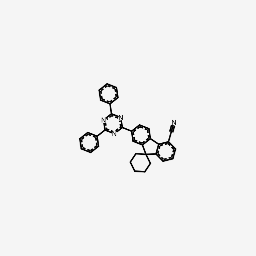 N#Cc1cccc2c1-c1ccc(-c3nc(-c4ccccc4)nc(-c4ccccc4)n3)cc1C21CCCCC1